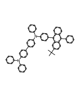 CC(C)(C)c1ccc2c(-c3ccccc3)c3ccccc3c(-c3ccc(N(c4ccccc4)c4ccc(-c5ccc(N(c6ccccc6)c6ccccc6)cc5)cc4)cc3)c2c1